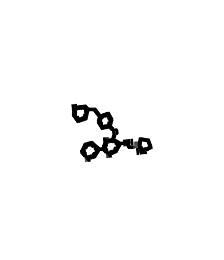 c1cncc(Cc2ccc(Oc3nc(-c4cccnc4)ncc3NC[C@@H]3CCCN3)cc2)c1